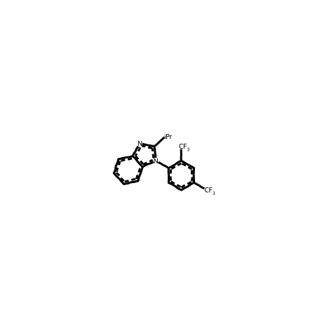 CC(C)c1nc2ccccc2n1-c1ccc(C(F)(F)F)cc1C(F)(F)F